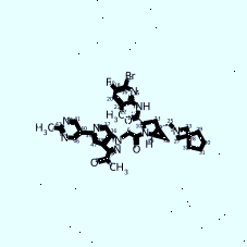 CC(=O)c1nn(CC(=O)N2[C@H](C(=O)Nc3nc(Br)c(F)cc3C)C[C@@]3(CN4CC5(CCCC5)C4)C[C@@H]23)c2cnc(-c3cnc(C)nc3)cc12